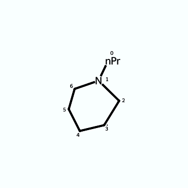 CCCN1C[CH]CCC1